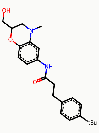 CN1CC(CO)Oc2ccc(NC(=O)CCc3ccc(C(C)(C)C)cc3)cc21